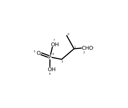 CC([C]=O)CP(=O)(O)O